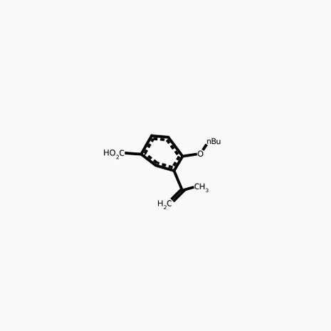 C=C(C)c1cc(C(=O)O)ccc1OCCCC